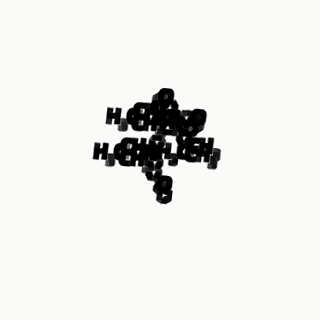 CC(C)(C)c1ccc(N(c2ccc(-c3cc4c5c(c3)N(c3ccc(C(C)(C)C)cc3)c3c(ccc6c3OCCCO6)B5c3ccc5c(c3N4c3ccc(C(C)(C)C)cc3)OCCCO5)cc2)c2ccc3cc(-c4cc5ccccc5o4)ccc3c2)cc1